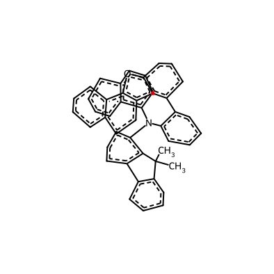 CC1(C)c2ccccc2-c2cccc(N(c3ccccc3-c3cccc4oc5c6ccccc6ccc5c34)c3cccc4ccccc34)c21